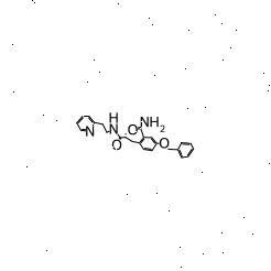 NC(=O)c1cc(OCc2ccccc2)ccc1C[CH]C(=O)NCCc1ccccn1